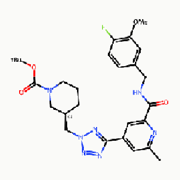 COc1cc(CNC(=O)c2cc(-c3nnn(C[C@@H]4CCCN(C(=O)OC(C)(C)C)C4)n3)cc(C)n2)ccc1F